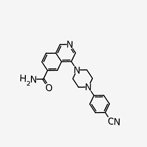 N#Cc1ccc(N2CCN(c3cncc4ccc(C(N)=O)cc34)CC2)cc1